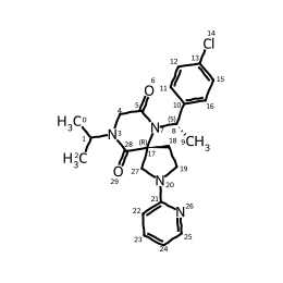 CC(C)N1CC(=O)N([C@@H](C)c2ccc(Cl)cc2)[C@@]2(CCN(c3ccccn3)C2)C1=O